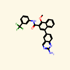 COc1c(C(=O)Nc2cccc(C(F)(F)F)c2)cc(-c2ccc3nc(N)ncc3c2)c2ccccc12